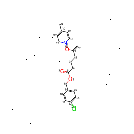 C=C(CCCC(=O)OCc1ccc(Cl)cc1)ON1C=CC(C)=CC1